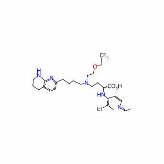 C\C=N/C=C\C(N[C@@H](CCN(CCCCc1ccc2c(n1)NCCC2)CCOCC(F)(F)F)C(=O)O)=C(/C)CC